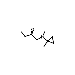 CCC(=O)CN(C)C1(C)CC1